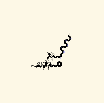 CC/C=C\C/C=C\C/C=C\C/C=C\C/C=C\C/C=C\CCC(=O)NC(CSSC(C)(C)C(NC(=O)CCCc1ccccc1)C(=O)NCC(O)CO)C(=O)O